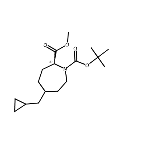 COC(=O)[C@@H]1CCC(CC2CC2)CCN1C(=O)OC(C)(C)C